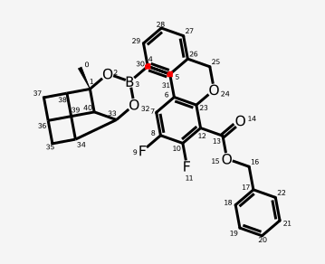 C[C@]12OB(/C=C\c3cc(F)c(F)c(C(=O)OCc4ccccc4)c3OCc3ccccc3)OC3C4CC5CC1C54C32